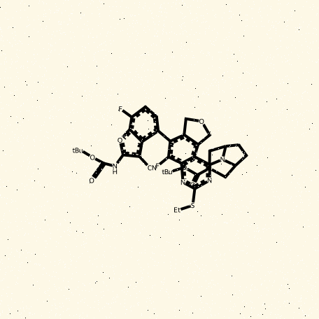 CCSc1nc(N2C3CCC2CN(C(=O)OC(C)(C)C)C3)c2c3c(c(-c4ccc(F)c5oc(NC(=O)OC(C)(C)C)c(C#N)c45)c(F)c2n1)COC3